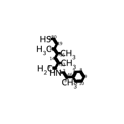 C=C(N/C=C(\C)c1ccccc1)/C(C)=C/C(C)=C(C)/C=C\S